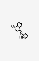 O=C1C=CC(=C/N=c2\cccc[nH]2)c2ccccc21